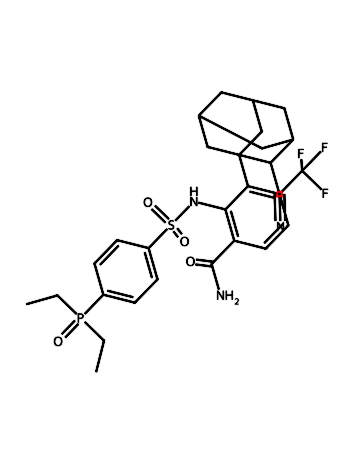 CCP(=O)(CC)c1ccc(S(=O)(=O)Nc2c(C(N)=O)ccc(C(F)(F)F)c2C23CC4CC(CC(C4)C2C#N)C3)cc1